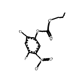 CCOC(=O)Oc1cc([N+](=O)[O-])c(F)cc1Cl